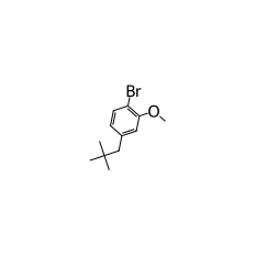 COc1cc(CC(C)(C)C)ccc1Br